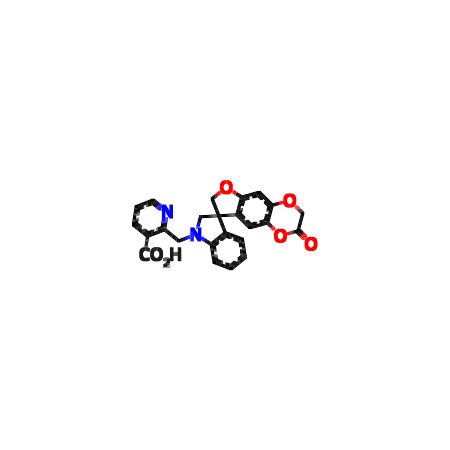 O=C1COc2cc3c(cc2O1)C1(CO3)CN(Cc2ncccc2C(=O)O)c2ccccc21